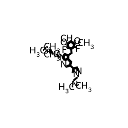 COc1cc(OC)c(F)c(Cc2cn(COCC[Si](C)(C)C)c3ncc(-c4cnn(CCN(C)C)c4)cc23)c1F